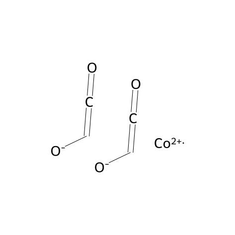 O=C=C[O-].O=C=C[O-].[Co+2]